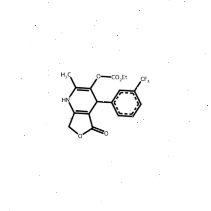 CCOC(=O)OC1=C(C)NC2=C(C(=O)OC2)C1c1cccc(C(F)(F)F)c1